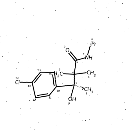 CC(C)NC(=O)C(C)(C)[C@@](C)(O)c1ccc(Cl)cc1